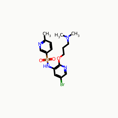 Cc1ccc(S(=O)(=O)Nc2cc(Br)cnc2OCCCN(C)C)cn1